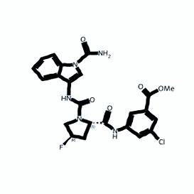 COC(=O)c1cc(Cl)cc(NC(=O)[C@@H]2C[C@@H](F)CN2C(=O)Nc2cn(C(N)=O)c3ccccc23)c1